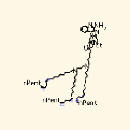 CCCCC/C=C\C/C=C\CCCCCCCCN(CCCCCCCC/C=C\C/C=C\CCCCC)CCCN(CCCCCCCC/C=C\C/C=C\CCCCC)CCCCCC(=O)OC(C)(C)Cn1c(CNCC)nc2c(N)nc3ccccc3c21